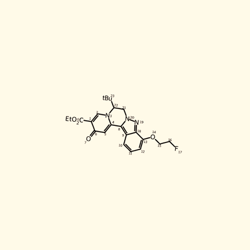 CCOC(=O)c1cn2c(cc1=O)-c1c3cccc(OCCF)c3nn1CC2C(C)(C)C